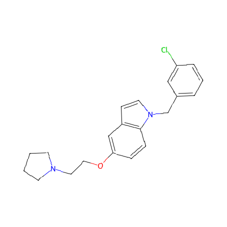 Clc1cccc(Cn2ccc3cc(OCCN4CCCC4)ccc32)c1